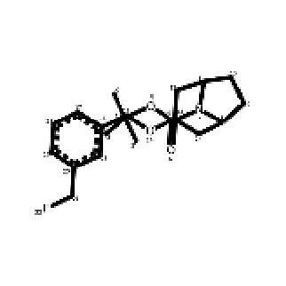 CC(C)(C)OC(=O)N1C2CCC1CC(OCc1cccc(CF)c1)C2